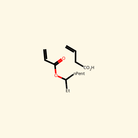 C=CC(=O)OC(CC)CCCCC.C=CCC(=O)O